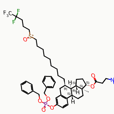 CN(C)CCC(=O)O[C@H]1CC[C@H]2[C@@H]3[C@H](CCCCCCCCC[S+]([O-])CCCC(F)(F)C(F)(F)F)Cc4cc(OP(=O)(OCc5ccccc5)OCc5ccccc5)ccc4[C@H]3CC[C@]12C